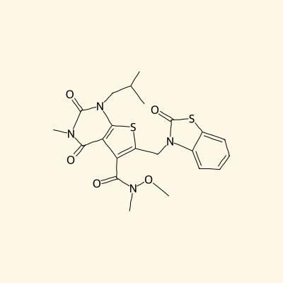 CON(C)C(=O)c1c(Cn2c(=O)sc3ccccc32)sc2c1c(=O)n(C)c(=O)n2CC(C)C